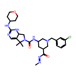 CN=NC(=O)C1CC(NC(=O)N2CC3NC(NC4CCOCC4)=NC=C3C2(C)C)CN(Cc2cccc(Cl)c2)C1